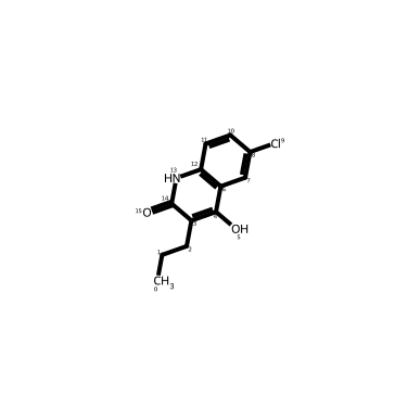 CCCc1c(O)c2cc(Cl)ccc2[nH]c1=O